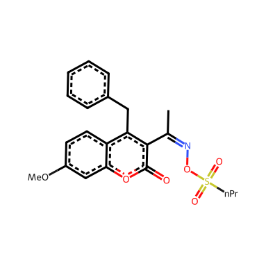 CCCS(=O)(=O)O/N=C(/C)c1c(Cc2ccccc2)c2ccc(OC)cc2oc1=O